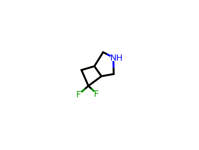 FC1(F)CC2CNCC21